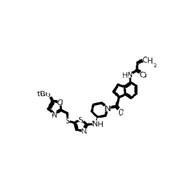 C=CC(=O)Nc1cccc2c1CCC2C(=O)N1CCC[C@@H](Nc2ncc(SCc3ncc(C(C)(C)C)o3)s2)C1